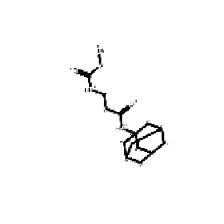 CC(C)(C)OC(=O)NCCC(=O)NC12CC3CC(CC(C3)C1)C2